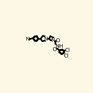 N#Cc1ccc(C2CCN(C3CCN(C(=O)CNC(=O)c4ccc(Cl)c(Cl)c4)C3)CC2)cc1